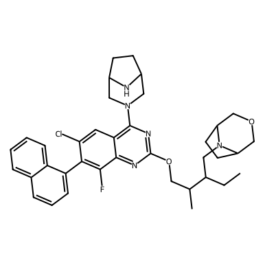 CCC(CN1C2CCC1COC2)C(C)COc1nc(N2CC3CCC(C2)N3)c2cc(Cl)c(-c3cccc4ccccc34)c(F)c2n1